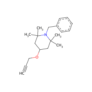 C#CCOC1CC(C)(C)N(Cc2ccccc2)C(C)(C)C1